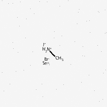 C[NH3+].[Br-].[I-].[Sn+]